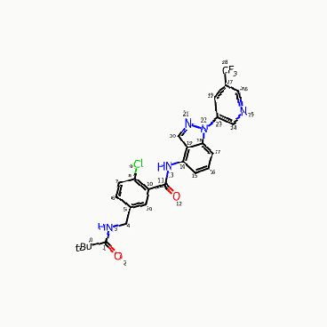 CC(C)(C)C(=O)NCc1ccc(Cl)c(C(=O)Nc2cccc3c2cnn3-c2cncc(C(F)(F)F)c2)c1